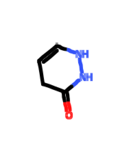 O=C1CC=[C]NN1